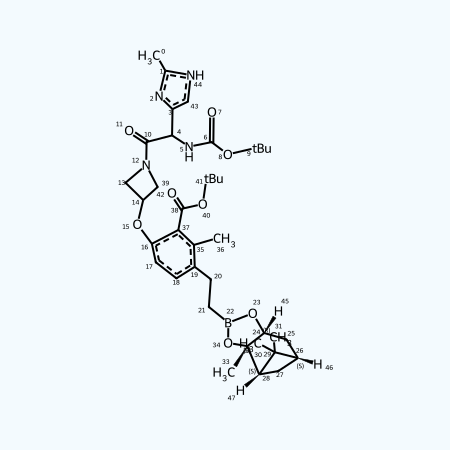 Cc1nc(C(NC(=O)OC(C)(C)C)C(=O)N2CC(Oc3ccc(CCB4O[C@@H]5C[C@@H]6C[C@@H](C6(C)C)[C@]5(C)O4)c(C)c3C(=O)OC(C)(C)C)C2)c[nH]1